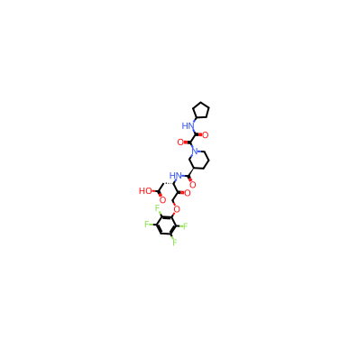 O=C(O)C[C@H](NC(=O)[C@@H]1CCCN(C(=O)C(=O)NC2CCCC2)C1)C(=O)COc1c(F)c(F)cc(F)c1F